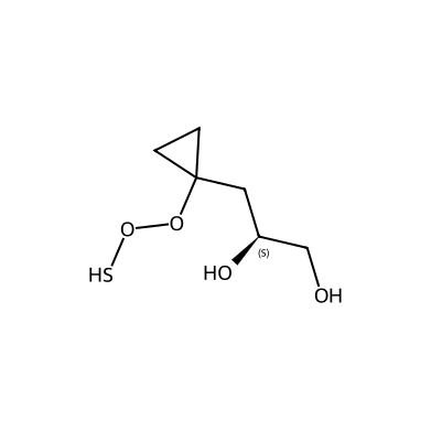 OC[C@@H](O)CC1(OOS)CC1